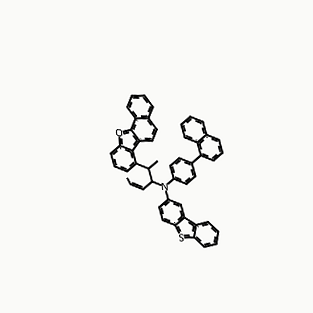 C/C=C\C(C(C)c1cccc2oc3c4ccccc4ccc3c12)N(c1ccc(-c2cccc3ccccc23)cc1)c1ccc2sc3ccccc3c2c1